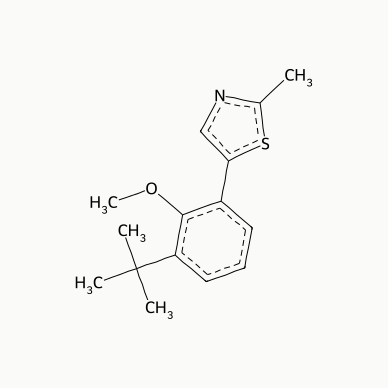 COc1c(-c2cnc(C)s2)cccc1C(C)(C)C